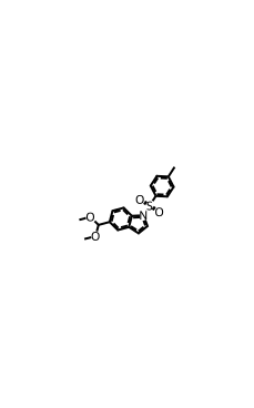 COC(OC)c1ccc2c(ccn2S(=O)(=O)c2ccc(C)cc2)c1